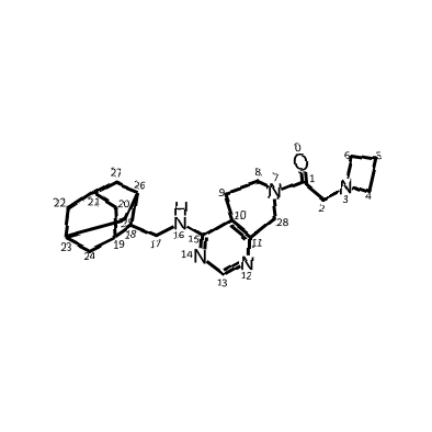 O=C(CN1CCC1)N1CCc2c(ncnc2NCC2C3CC4CC(C3)CC2C4)C1